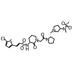 CN(C1CCN(C[C@@H]2CCCN2C(=O)CN2CCC[C@H](NS(=O)(=O)/C=C/c3ccc(Cl)s3)C2=O)C1)S(C)(=O)=O